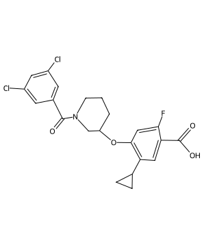 O=C(O)c1cc(C2CC2)c(OC2CCCN(C(=O)c3cc(Cl)cc(Cl)c3)C2)cc1F